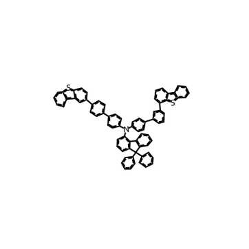 c1ccc(C2(c3ccccc3)c3ccccc3-c3c(N(c4ccc(-c5ccc(-c6ccc7sc8ccccc8c7c6)cc5)cc4)c4ccc(-c5cccc(-c6cccc7c6sc6ccccc67)c5)cc4)cccc32)cc1